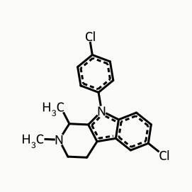 CC1c2c(c3cc(Cl)ccc3n2-c2ccc(Cl)cc2)CCN1C